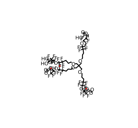 O[PH](O)(O)C(F)(F)C(F)(F)OC(F)(F)C(F)(F)CCCOCC(COCCCC(F)(F)C(F)(F)OC(F)(F)C(F)(F)[PH]1(O)OO1)(COCCCC(F)(F)C(F)(F)OC(F)(F)C(F)(F)[PH]1(O)OO1)COCCCC(F)(F)C(F)(F)OC(F)(F)C(F)(F)[PH]1(O)OO1